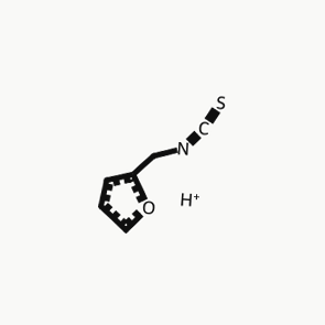 S=C=NCc1ccco1.[H+]